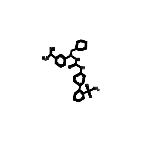 N=C(N)c1cccc(N(Cc2ccccc2)NC(=O)Nc2ccc(-c3ccccc3S(N)(=O)=O)cc2)c1